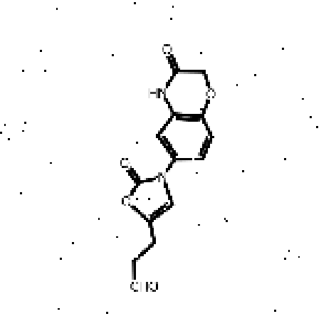 O=CCCc1cn(-c2ccc3c(c2)NC(=O)CO3)c(=O)o1